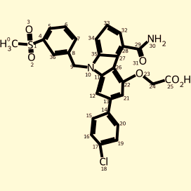 CS(=O)(=O)c1cccc(Cn2c3cc(-c4ccc(Cl)cc4)cc(OCC(=O)O)c3c3c(C(N)=O)cccc32)c1